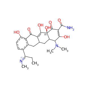 CC/C(=N\C)c1ccc(O)c2c1CC1CC3C(N(C)C)C(O)=C(C(N)=O)C(=O)[C@@]3(O)C(O)=C1C2=O